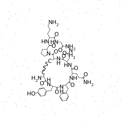 NCCCC(NC(=O)C1CCCN1C(=O)C1CSSCC(N)C(=O)NC(Cc2ccc(O)cc2)C(=O)NC(Cc2ccccc2)C(=O)NC(CCC(N)=O)C(=O)NC(CC(N)=O)C(=O)N1)C(=O)NCC(N)=O